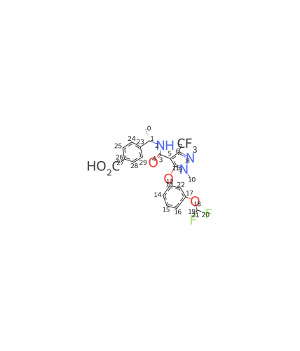 C[C@H](NC(=O)c1c(C(F)(F)F)nn(C)c1Oc1cccc(OC(F)F)c1)c1ccc(C(=O)O)cc1